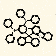 c1ccc(N(c2ccccc2)c2cc(N(c3ccccc3)c3ccccc3)c3c(c2)C2(c4ccccc4-c4ccccc42)c2c-3ccc3c2oc2ccccc23)cc1